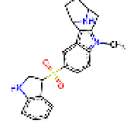 Cn1c2c(c3cc(S(=O)(=O)C4CNc5ccccc54)ccc31)C1CCC(C2)N1